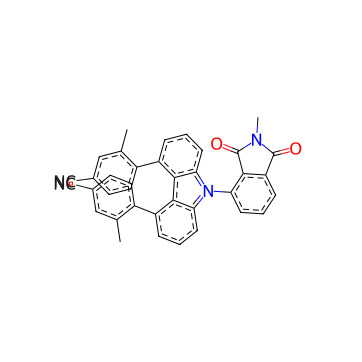 Cc1cc(C#N)ccc1-c1cccc2c1c1c(-c3ccc(C#N)cc3C)cccc1n2-c1cccc2c1C(=O)N(C)C2=O